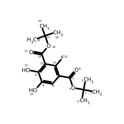 CC(C)(C)OC(=O)c1cc(O)c(O)c(C(=O)OC(C)(C)C)c1F